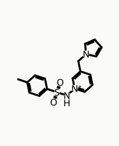 Cc1ccc(S(=O)(=O)N[n+]2cccc(Cn3cccc3)c2)cc1